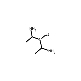 CCN(C(C)N)C(C)N